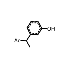 CC(=O)C(C)c1cccc(O)c1